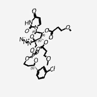 COCCC(=O)O[C@H]1[C@H](n2ccc(=O)[nH]c2=O)O[C@@](CO[P@@]2(=O)OCC[C@@H](c3cccc(Cl)c3)O2)(N=[N+]=[N-])[C@H]1OC(=O)CCOC